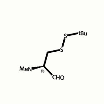 CN[C@H](C=O)CSSC(C)(C)C